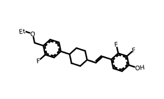 CCOCc1ccc(C2CCC(/C=C/c3ccc(O)c(F)c3F)CC2)cc1F